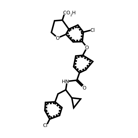 O=C(NC(Cc1ccc(Cl)cc1)C1CC1)c1ccc(Oc2cc3c(cc2Cl)C(C(=O)O)CCO3)cc1